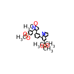 Cn1c(-c2ccc(S(C)(=O)=O)cc2)c(-c2cccc(-c3cc(C(C)(C)S(C)(=O)=O)cc4cccnc34)c2)ccc1=O